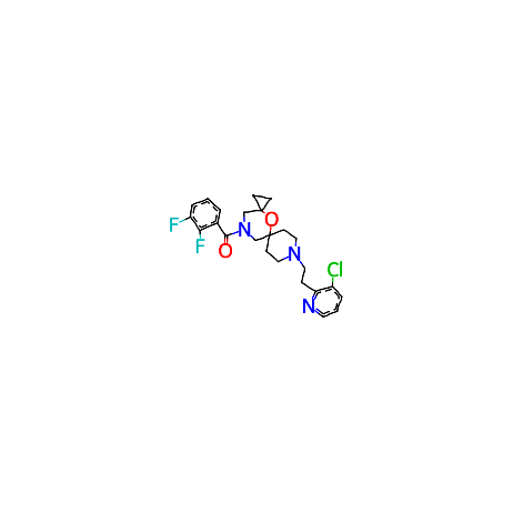 O=C(c1cccc(F)c1F)N1CC2(CCN(CCc3ncccc3Cl)CC2)OC2(CC2)C1